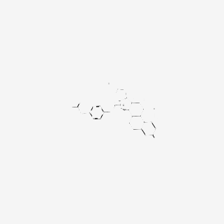 CCC[C@@H]1O[C@@H]2CC3[C@@H]4CCC5=CC(=O)C=C[C@]5(C)C4[C@@H](O)C[C@]3(C)[C@]2(C(=O)COc2ccc(NC(=O)CC)cc2)O1